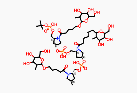 CC1C(CCCCCC(=O)N2C[C@H](OP(=O)(O)OC[C@@H]3C[C@@H](C)CN3C(=O)CCCCOC3OC(CO)C(O)C(O)C3C)C[C@H]2COP(=O)(O)O[C@@H]2C[C@@H](COP(=O)(O)OC(C)(C)C)N(C(=O)CCCCOC3OC(CO)C(O)C(O)C3C)C2)OC(CO)C(O)C1O